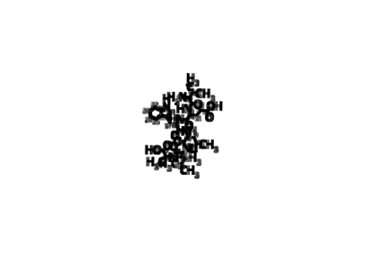 CC(C)C[C@H](NC(=O)[C@H](CC(C)C)NC(=O)[C@H](Cc1c[nH]c2ccccc12)NC(=O)[C@H](CCC(=O)O)NC(=O)[C@@H](N)C(C)C)C(=O)N[C@@H](C)C(=O)O